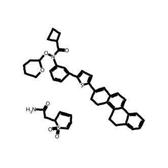 NC(=O)CC1C=CC=CS1(=O)=O.O=C(C1CCC1)N(OC1CCCCO1)c1cccc(-c2ccc(C3=Cc4ccc5c(c4CC3)CCc3ccccc3-5)s2)c1